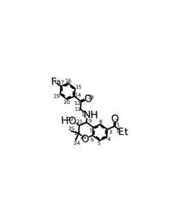 CCC(=O)c1ccc2c(c1)C(NCC(=O)c1ccc(F)cc1)C(O)C(C)(C)O2